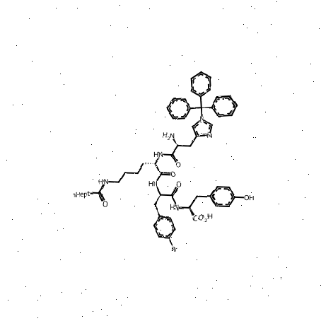 CCCCCCCC(=O)NCCCC[C@H](NC(=O)[C@@H](N)Cc1cn(C(c2ccccc2)(c2ccccc2)c2ccccc2)cn1)C(=O)N[C@H](Cc1ccc(Br)cc1)C(=O)N[C@@H](Cc1ccc(O)cc1)C(=O)O